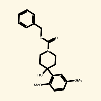 COc1ccc(OC)c(C2(O)CCN(C(=O)OCc3ccccc3)CC2)c1